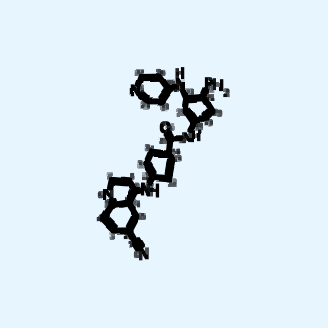 N#Cc1ccc2nccc(Nc3ccc(C(=O)Nc4ccc(P)c(Nc5ccncc5)c4)cc3)c2c1